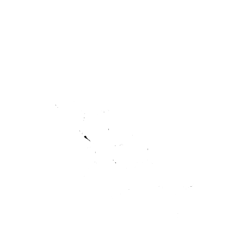 CCCCCCC(N)C(=O)N[C@@H]1C(=O)N2C(C(=O)O)=C(COC(C)=O)CS[C@H]12